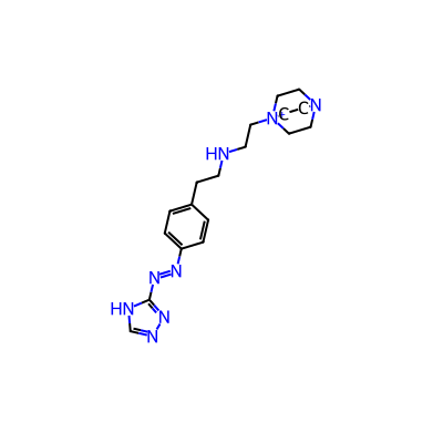 c1nnc(N=Nc2ccc(CCNCC[N+]34CCN(CC3)CC4)cc2)[nH]1